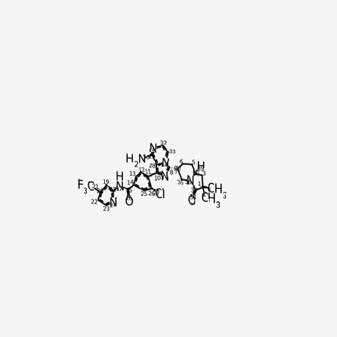 CC1(C)C[C@@H]2CC[C@@H](c3nc(-c4ccc(C(=O)Nc5cc(C(F)(F)F)ccn5)cc4Cl)c4c(N)nccn34)CN2C1=O